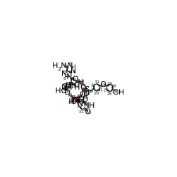 Nc1ncnc2c1ncn2[C@@H]1O[C@@H]2COP(=O)(SCc3ccc(Oc4ccc(O)cc4)cc3)O[C@@H]3[C@H](F)[C@@H](COP(=O)(O)O[C@@H]1[C@@H]2F)O[C@H]3n1ccc(=O)[nH]c1=O